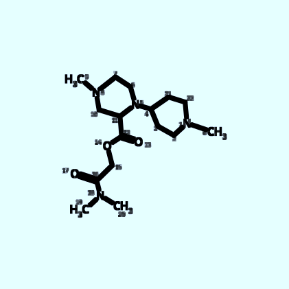 CN1CCC(N2CCN(C)CC2C(=O)OCC(=O)N(C)C)CC1